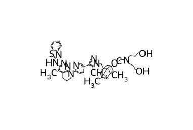 Cc1c(Nc2nc3ccccc3s2)nnc2c1CCCN2c1ccc(-c2cnn(CC34CC5(C)CC(C)(C3)CC(OCCN(CCCO)CCCO)(C5)C4)c2C)cn1